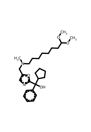 COC(CCCCCCCN(C)Cc1cnc(C(O)(c2ccccc2)C2CCCC2)o1)OC